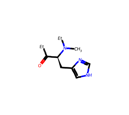 CCC(=O)[C@H](Cc1c[nH]cn1)N(C)CC